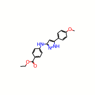 CCOC(=O)c1ccc(Nc2cc(-c3ccc(OC)cc3)[nH]n2)cc1